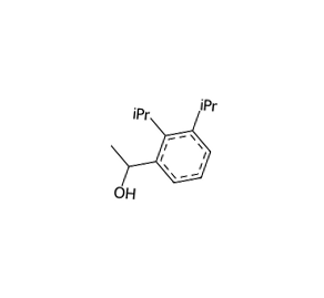 CC(C)c1cccc(C(C)O)c1C(C)C